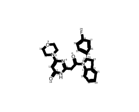 O=C(Cc1nc(N2CCOCC2)cc(=O)[nH]1)N1c2ccccc2C[C@H]1c1ccc(F)cc1